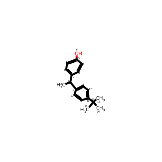 CC(c1ccc(O)cc1)c1ccc(C(C)(C)C)cc1